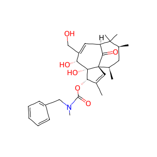 CC1=C[C@]23C(=O)[C@@H](C=C(CO)[C@@H](O)[C@]2(O)[C@H]1OC(=O)N(C)Cc1ccccc1)C(C)(C)[C@@H](C)C[C@H]3C